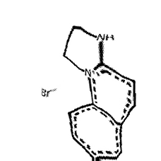 [Br-].c1ccc2c(c1)ccc1[n+]2CCN1